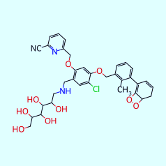 Cc1c(COc2cc(OCc3cccc(C#N)n3)c(CNCC(O)C(O)C(O)C(O)CO)cc2Cl)cccc1C1=C2OOC2CC=C1